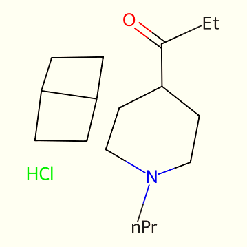 C1CC2CCC12.CCCN1CCC(C(=O)CC)CC1.Cl